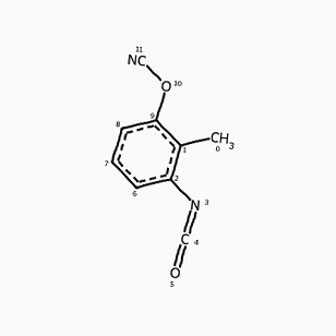 Cc1c(N=C=O)cccc1OC#N